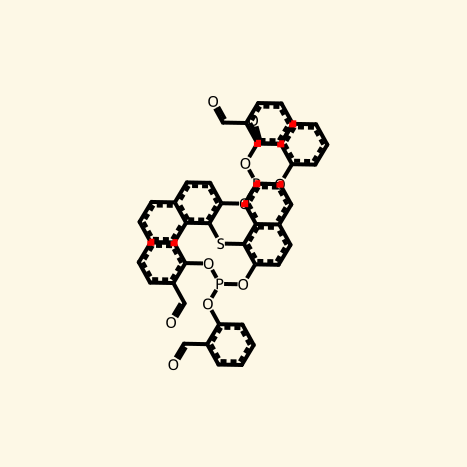 O=Cc1ccccc1OP(Oc1ccccc1C=O)Oc1ccc2ccccc2c1Sc1c(OP(Oc2ccccc2C=O)Oc2ccccc2C=O)ccc2ccccc12